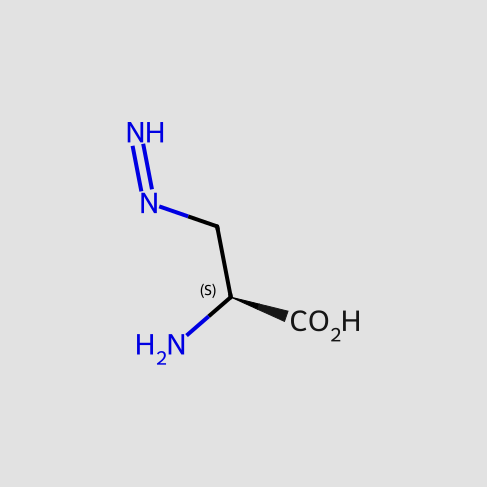 N=NC[C@H](N)C(=O)O